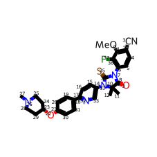 COc1c(C#N)ccc(N2C(=O)C(C)(C)N(c3ccc(-c4ccc(OC5CCN(C)CC5)cc4)nc3)C2=S)c1F